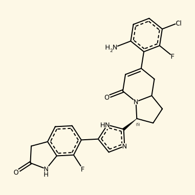 Nc1ccc(Cl)c(F)c1C1=CC(=O)N2C(CC[C@H]2c2ncc(-c3ccc4c(c3F)NC(=O)C4)[nH]2)C1